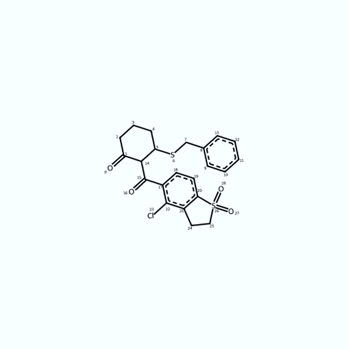 O=C1CCCC(SCc2ccccc2)C1C(=O)c1ccc2c(c1Cl)CCS2(=O)=O